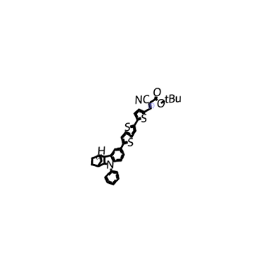 CC(C)(C)OC(=O)/C(C#N)=C/c1ccc(-c2cc3sc(-c4ccc5c(c4)C4C(C6CC[C@H]4C6)N5c4ccccc4)cc3s2)s1